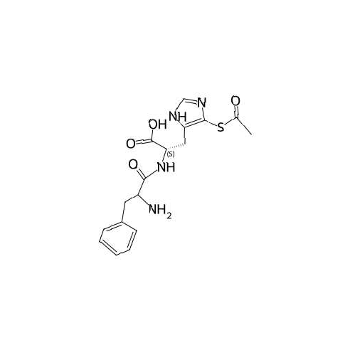 CC(=O)Sc1nc[nH]c1C[C@H](NC(=O)C(N)Cc1ccccc1)C(=O)O